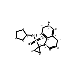 O=S(=O)(NC1CCCC1)C1(N2C=CCC3=CNCC=C32)CC1